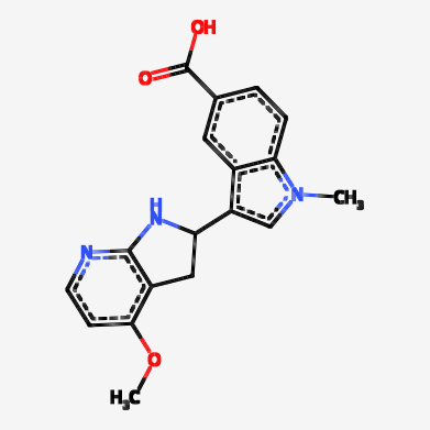 COc1ccnc2c1CC(c1cn(C)c3ccc(C(=O)O)cc13)N2